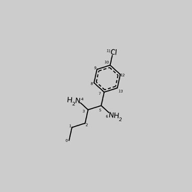 CCCC(N)C(N)c1ccc(Cl)cc1